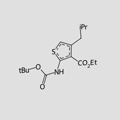 CCOC(=O)c1c(CC(C)C)csc1NC(=O)OC(C)(C)C